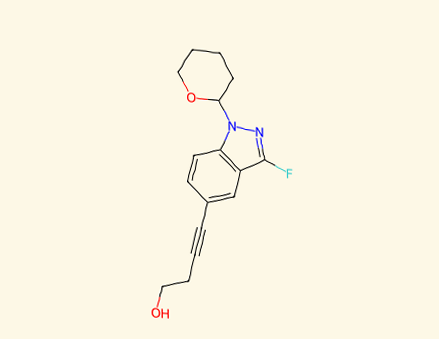 OCCC#Cc1ccc2c(c1)c(F)nn2C1CCCCO1